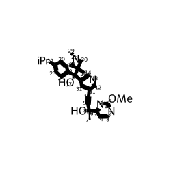 COc1nccc([C@](C)(O)C#Cc2cncc([C@@](O)(c3ccc(C(C)C)cc3)C3(C)CN(C)C3)c2)n1